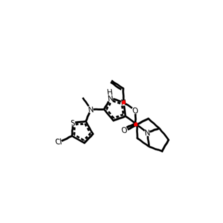 C=CCOC(=O)N1C2CCC1CC(c1cc(N(C)c3ccc(Cl)s3)[nH]n1)C2